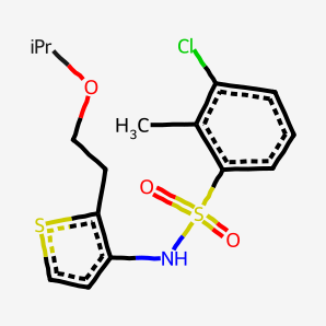 Cc1c(Cl)cccc1S(=O)(=O)Nc1ccsc1CCOC(C)C